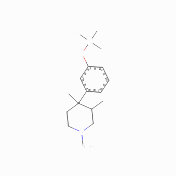 CCCCCCN1CCC(C)(c2cccc(O[Si](C(C)C)(C(C)C)C(C)C)c2)C(C)C1